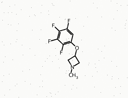 CN1CC(Oc2cc(F)c(F)c(F)c2F)C1